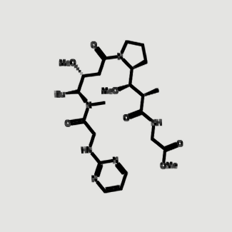 CC[C@H](C)[C@@H]([C@@H](CC(=O)N1CCC[C@H]1[C@H](OC)[C@@H](C)C(=O)NCC(=O)OC)OC)N(C)C(=O)CNc1ncccn1